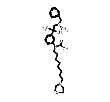 CN(Cc1ccccc1)CC(C)(C)c1cccc(N(CCCCCCCCN2CCOCC2)C(=O)O)c1